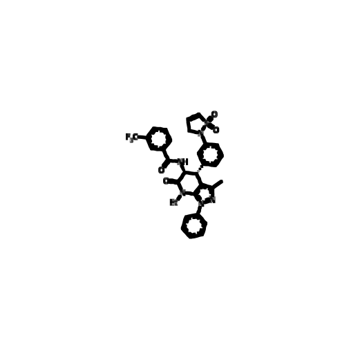 CCN1C(=O)[C@@H](NC(=O)c2cccc(C(F)(F)F)c2)[C@H](c2cccc(N3CC=CS3(=O)=O)c2)c2c(C)nn(-c3ccccc3)c21